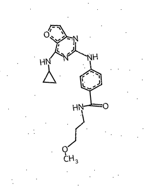 COCCCNC(=O)c1ccc(Nc2nc(NC3CC3)c3occc3n2)cc1